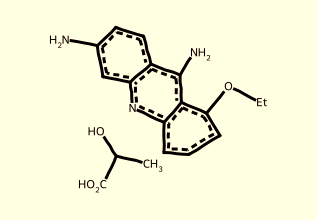 CC(O)C(=O)O.CCOc1cccc2nc3cc(N)ccc3c(N)c12